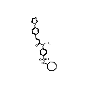 CN(C(=O)/C=C/c1ccc(-n2ccnc2)cc1)c1ccc(S(=O)(=O)NC2CCCCCCC2)cc1